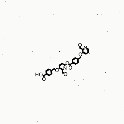 O=Cc1ncccc1OCc1ccc(C(=O)Oc2ccc(OCc3ccc(C(=O)O)cc3)c(C=O)n2)cc1